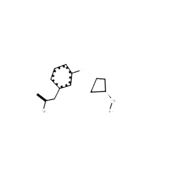 CC(C)N[C@H]1C[C@H](Oc2cccc(CC(N)=O)c2)C1